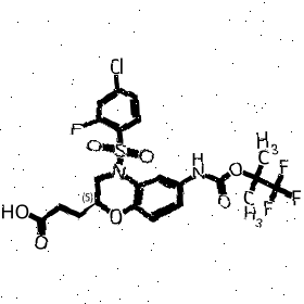 CC(C)(OC(=O)Nc1ccc2c(c1)N(S(=O)(=O)c1ccc(Cl)cc1F)C[C@H](CCC(=O)O)O2)C(F)(F)F